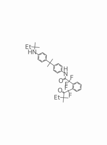 CCC(C)(C)Nc1ccc(C(C)(C)c2ccc(NC(=O)C(F)(F)c3ccccc3C(F)(F)C(=O)C(C)(C)CC)cc2)cc1